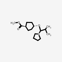 COC(=O)[C@H]1CC[C@H](OC(C(C)C)N2CCCC2)CC1